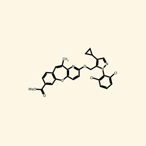 COC(=O)c1ccc2c(c1)Oc1ccc(OCc3c(C4CC4)cnn3-c3c(Cl)cccc3Cl)nc1C(C)=C2